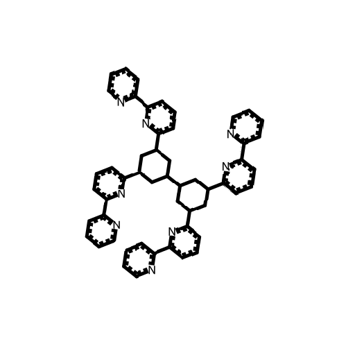 c1ccc(-c2cccc(C3CC(c4cccc(-c5ccccn5)n4)CC(C4CC(c5cccc(-c6ccccn6)n5)CC(c5cccc(-c6ccccn6)n5)C4)C3)n2)nc1